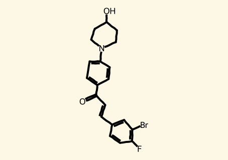 O=C(C=Cc1ccc(F)c(Br)c1)c1ccc(N2CCC(O)CC2)cc1